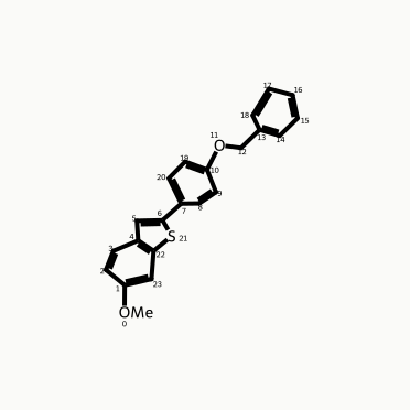 COc1ccc2cc(-c3ccc(OCc4ccccc4)cc3)sc2c1